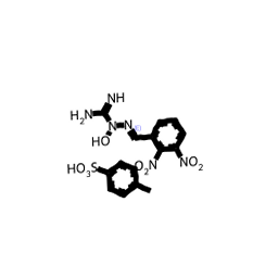 Cc1ccc(S(=O)(=O)O)cc1.N=C(N)N(O)/N=C/c1cccc([N+](=O)[O-])c1[N+](=O)[O-]